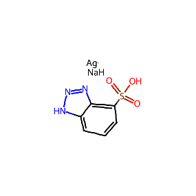 O=S(=O)(O)c1cccc2[nH]nnc12.[Ag].[NaH]